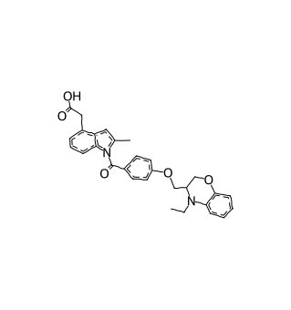 CCN1c2ccccc2OCC1COc1ccc(C(=O)n2c(C)cc3c(CC(=O)O)cccc32)cc1